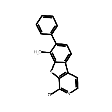 Cc1c(-c2ccccc2)ccc2c1sc1c(Cl)nccc12